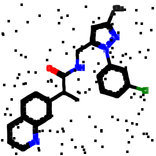 CC(C(=O)NCc1cc(C(C)(C)C)nn1-c1cccc(Cl)c1)c1ccc2cccnc2c1